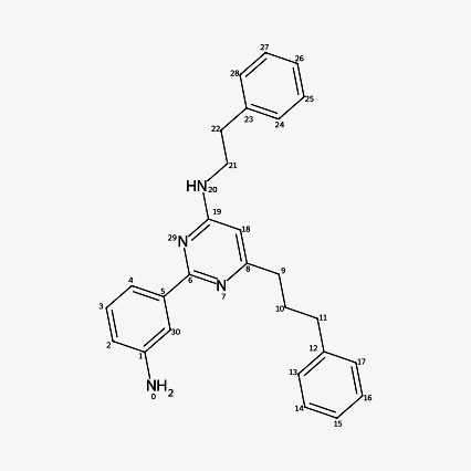 Nc1cccc(-c2nc(CCCc3ccccc3)cc(NCCc3ccccc3)n2)c1